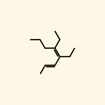 CC=CC(CC)=C(CC)CCC